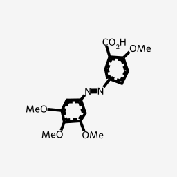 COc1ccc(N=Nc2cc(OC)c(OC)c(OC)c2)cc1C(=O)O